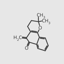 C=C1C(=O)c2ccccc2C2=C1CCC(C)(C)O2